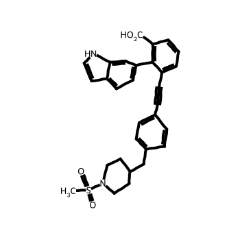 CS(=O)(=O)N1CCC(Cc2ccc(C#Cc3cccc(C(=O)O)c3-c3ccc4cc[nH]c4c3)cc2)CC1